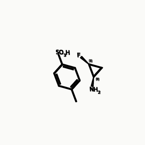 Cc1ccc(S(=O)(=O)O)cc1.N[C@@H]1C[C@@H]1F